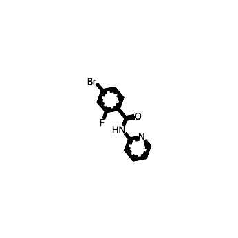 O=C(Nc1ccccn1)c1ccc(Br)cc1F